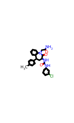 Cc1ccc(C2CC(NC(=O)Nc3cccc(Cl)c3)C(=O)N(CC(N)=O)c3ccccc32)cc1